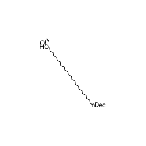 C1CO1.C=C.CCCCCCCCCCCCCCCCCCCCCCCCCCCCCCCCCCO